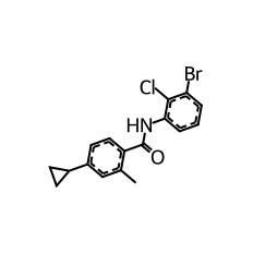 Cc1cc(C2CC2)ccc1C(=O)Nc1cccc(Br)c1Cl